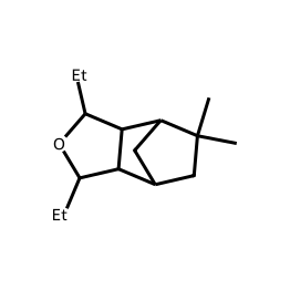 CCC1OC(CC)C2C1C1CC2C(C)(C)C1